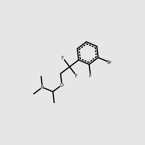 CC(OCC(F)(F)c1cccc(Br)c1F)N(C)C